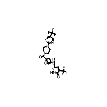 O=c1[nH]nc(N[C@]23CO[C@](C(=O)N4CCN(c5ncc(C(F)(F)F)cn5)CC4)(C2)C3)cc1C(F)(F)F